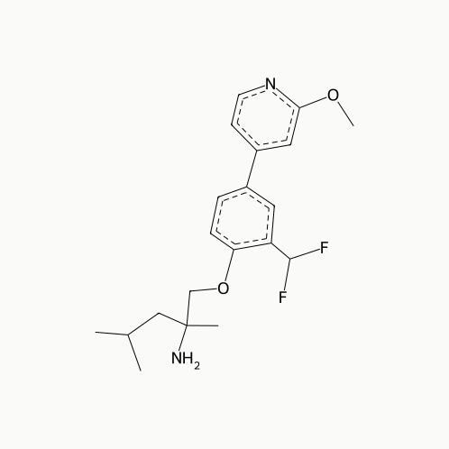 COc1cc(-c2ccc(OCC(C)(N)CC(C)C)c(C(F)F)c2)ccn1